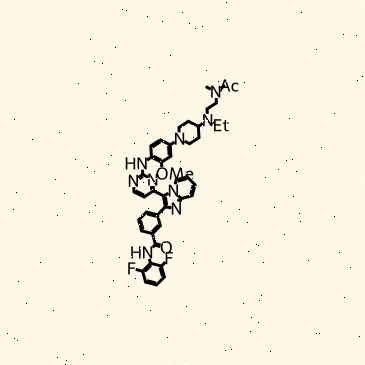 CCN(CCN(C)C(C)=O)C1CCN(c2ccc(Nc3nccc(-c4c(-c5cccc(C(=O)Nc6c(F)cccc6F)c5)nc5ccccn45)n3)c(OC)c2)CC1